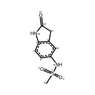 CS(=O)(=O)Nc1ccc2c(c1)CC(=O)N2